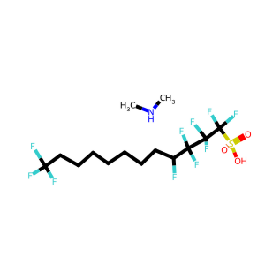 CNC.O=S(=O)(O)C(F)(F)C(F)(F)C(F)(F)C(F)CCCCCCCC(F)(F)F